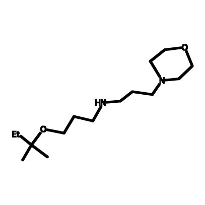 CCC(C)(C)OCCCNCCCN1CCOCC1